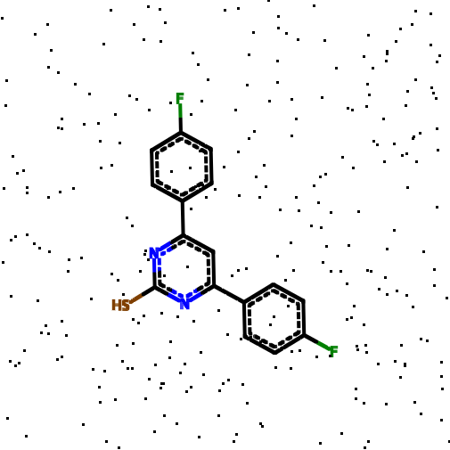 Fc1ccc(-c2cc(-c3ccc(F)cc3)nc(S)n2)cc1